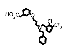 O=C(O)Cc1cccc(OCCCN(CCc2ccccc2)Cc2cccc(C(F)(F)F)c2Cl)c1